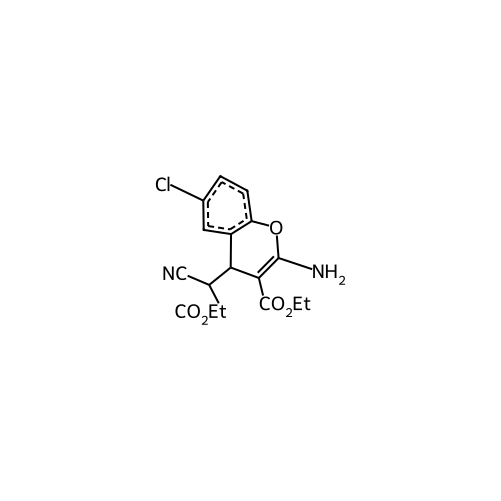 CCOC(=O)C1=C(N)Oc2ccc(Cl)cc2C1C(C#N)C(=O)OCC